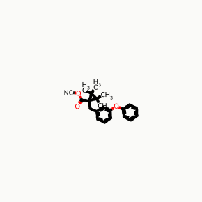 CC1(C)C(C)(C)C1(Cc1cccc(Oc2ccccc2)c1)C(=O)OC#N